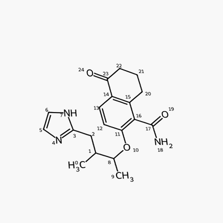 CC(Cc1ncc[nH]1)C(C)Oc1ccc2c(c1C(N)=O)CCCC2=O